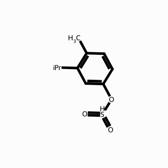 Cc1ccc(O[SH](=O)=O)cc1C(C)C